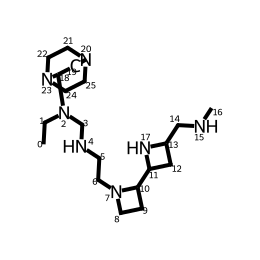 CCN(CNCCN1CCC1C1CC(CNC)N1)C1CN2CCN1CC2